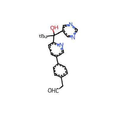 CC(C)(C)C(O)(c1cncnc1)c1ccc(-c2ccc(CC=O)cc2)cn1